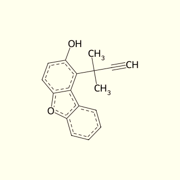 C#CC(C)(C)c1c(O)ccc2oc3ccccc3c12